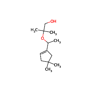 CC(OC(C)(C)CO)C1=CCC(C)(C)C1